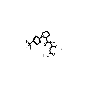 CC(=NC(=O)O)NC(=S)C1CCCN1c1ccc(C(F)(F)F)cc1